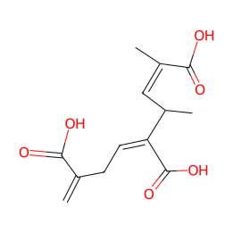 C=C(CC=C(C(=O)O)C(C)C=C(C)C(=O)O)C(=O)O